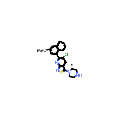 COc1cc(-c2nc3nsc(N4CCNC[C@@H]4C)c3cc2Cl)c2ccccc2c1